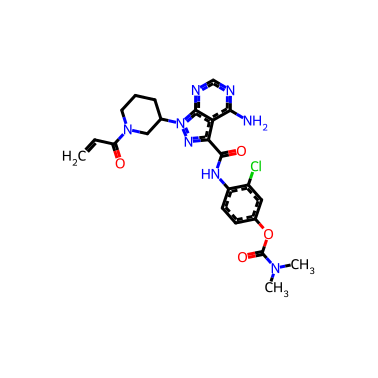 C=CC(=O)N1CCCC(n2nc(C(=O)Nc3ccc(OC(=O)N(C)C)cc3Cl)c3c(N)ncnc32)C1